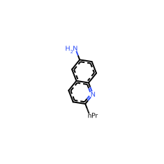 CCCc1ccc2cc(N)ccc2n1